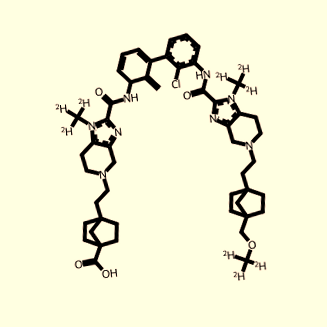 [2H]C([2H])([2H])OCC12CCC(CCN3CCc4c(nc(C(=O)Nc5cccc(C6=CC=CC(NC(=O)c7nc8c(n7C([2H])([2H])[2H])CCN(CCC79CCC(C(=O)O)(CC7)C9)C8)C6=C)c5Cl)n4C([2H])([2H])[2H])C3)(CC1)C2